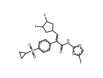 O=C(Nc1ncc(F)s1)/C(=C/C1CC(F)C(F)C1)c1ccc(S(=O)(=O)C2CC2)cc1